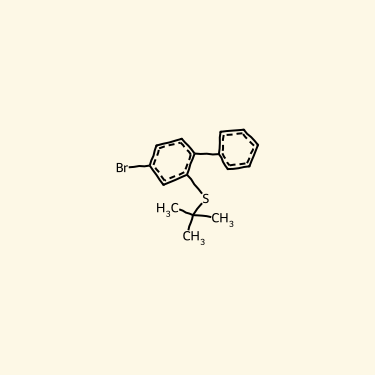 CC(C)(C)Sc1cc(Br)ccc1-c1ccccc1